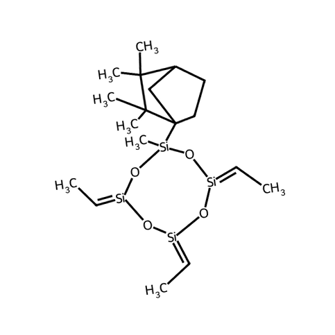 CC=[Si]1O[Si](=CC)O[Si](C)(C23CCC(C2)C(C)(C)C3(C)C)O[Si](=CC)O1